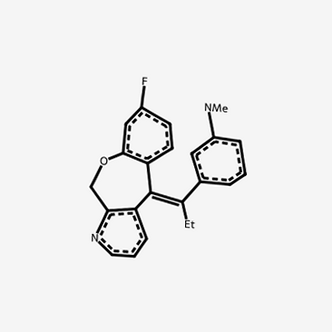 CC/C(=C1/c2ccc(F)cc2OCc2ncccc21)c1cccc(NC)c1